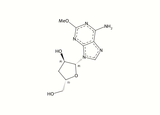 COc1nc(N)c2ncn([C@@H]3O[C@H](CO)C[C@H]3O)c2n1